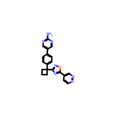 Nc1ncc(-c2ccc(C3(c4noc(-c5ccnnc5)n4)CCC3)cc2)cn1